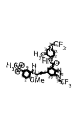 COc1ccc(S(C)(=O)=O)cc1NCC#Cc1cc(C(=O)N[C@H]2CCN(CC(F)(F)F)C[C@@H]2C)c2ncn(CC(F)(F)F)c2c1